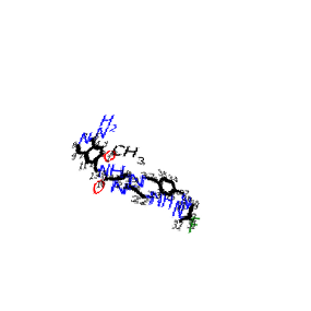 COc1cc2c(N)nccc2cc1CNC(=O)c1cn2c(n1)CNc1cc(Cn3cc(F)cn3)ccc1C2